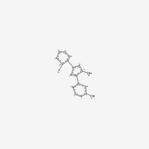 N#Cc1ccnc(-n2nc(-c3ccccc3F)cc2O)c1